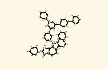 c1ccc(-c2ccc(-c3nc(-c4ccccc4)nc(-c4cccc(-n5c6c7ccccc7ccc6c6ccc7nc(-c8ccccc8)oc7c65)c4)n3)cc2)cc1